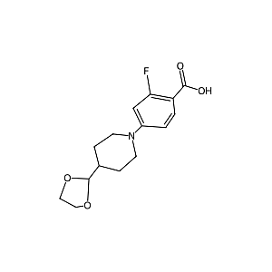 O=C(O)c1ccc(N2CCC(C3OCCO3)CC2)cc1F